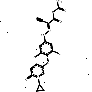 N#C/C(=N\Nc1cc(Cl)c(Oc2ccc(=O)n(C3CC3)c2)c(Cl)c1)C(=O)OC(N)=O